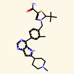 Cc1cc(-c2ncnc3cc(C4CCN(C)CC4)[nH]c23)ccc1CN1C=C(C(N)=O)SC1C(C)(C)C